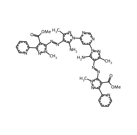 COC(=O)c1c(-c2ccccn2)nn(C)c1/N=N/c1c(C)nn(-c2cc(-n3nc(C)c(/N=N/c4c(C(=O)OC)c(-c5ccccn5)nn4C)c3N)ncn2)c1N